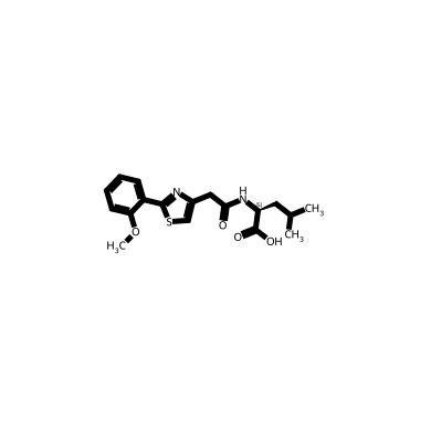 COc1ccccc1-c1nc(CC(=O)N[C@@H](CC(C)C)C(=O)O)cs1